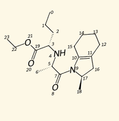 CCC[C@H](N[C@@H](C)C(=O)N1C2=C(CCCC2)C[C@H]1C)C(=O)OCC